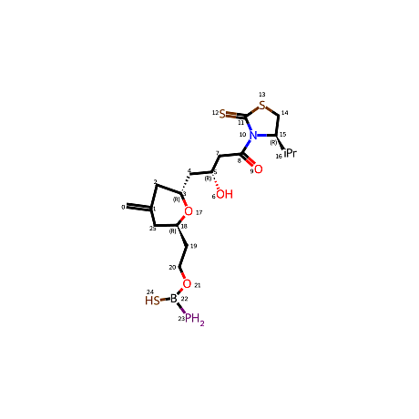 C=C1C[C@H](C[C@@H](O)CC(=O)N2C(=S)SC[C@H]2C(C)C)O[C@@H](CCOB(P)S)C1